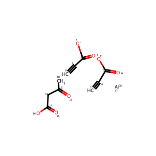 C#CC(=O)[O-].C#CC(=O)[O-].CC(=O)CC(=O)[O-].[Al+3]